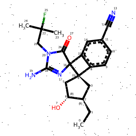 CC[C@@H]1C[C@]2(C[C@H]1O)c1ccc(C#N)cc1C21N=C(N)N(CC(C)(C)F)C1=O